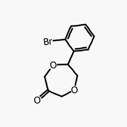 O=C1COCC(c2ccccc2Br)OC1